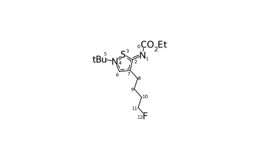 CCOC(=O)/N=c1\sn(C(C)(C)C)cc1CCCCF